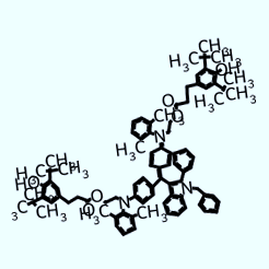 Cc1cccc(C)c1N(CCOC(=O)CCc1cc(C(C)(C)C)c(O)c(C(C)(C)C)c1)c1ccc(C(=C2C=CC(=[N+](CCOC(=O)CCc3cc(C(C)(C)C)c(O)c(C(C)(C)C)c3)c3c(C)cccc3C)C=C2)c2c(-c3ccccc3)n(Cc3ccccc3)c3ccccc23)cc1